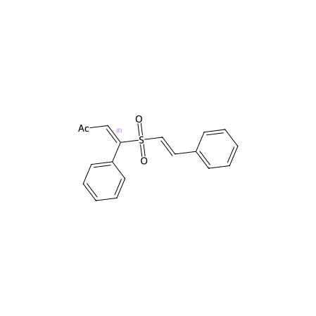 CC(=O)/C=C(\c1ccccc1)S(=O)(=O)C=Cc1ccccc1